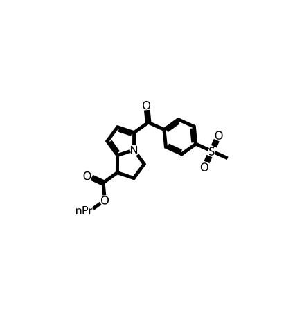 CCCOC(=O)C1CCn2c(C(=O)c3ccc(S(C)(=O)=O)cc3)ccc21